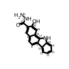 NNC(=O)c1cc2ccc3c4ccccc4[nH]c3c2cc1O